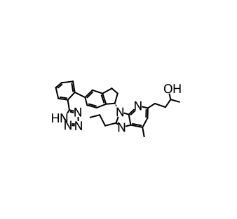 CCCc1nc2c(C)cc(CCC(C)O)nc2n1[C@H]1CCc2cc(-c3ccccc3-c3nnn[nH]3)ccc21